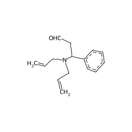 C=CCN(CC=C)C(CC=O)c1ccccc1